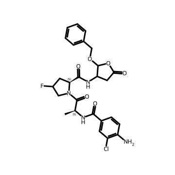 C[C@H](NC(=O)c1ccc(N)c(Cl)c1)C(=O)N1CC(F)C[C@H]1C(=O)NC1CC(=O)OC1OCc1ccccc1